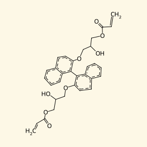 C=CC(=O)OCC(O)COc1ccc2ccccc2c1-c1c(OCC(O)COC(=O)C=C)ccc2ccccc12